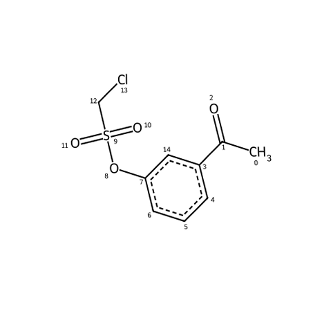 CC(=O)c1cccc(OS(=O)(=O)CCl)c1